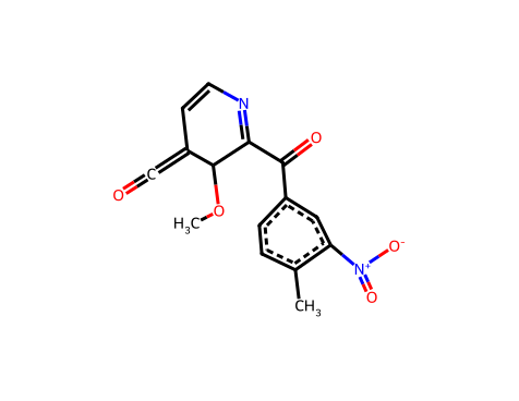 COC1C(=C=O)C=CN=C1C(=O)c1ccc(C)c([N+](=O)[O-])c1